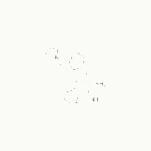 Nc1c(Cc2cccc(CN3CCCC3)c2)nc2ncccc2c1N